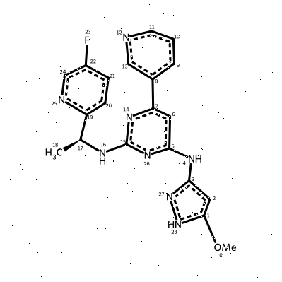 COc1cc(Nc2cc(-c3cccnc3)nc(N[C@@H](C)c3ccc(F)cn3)n2)n[nH]1